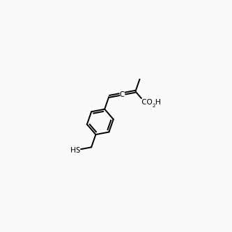 CC(=C=Cc1ccc(CS)cc1)C(=O)O